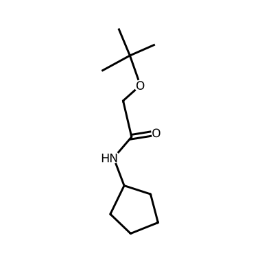 CC(C)(C)OCC(=O)NC1CCCC1